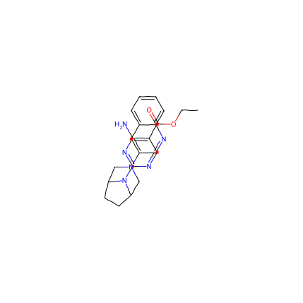 CCOC(=O)c1cnc(N2C3CCC2CN(c2cnc4ccccc4c2)C3)nc1N